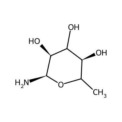 CC1O[C@@H](N)[C@@H](O)C(O)[C@H]1O